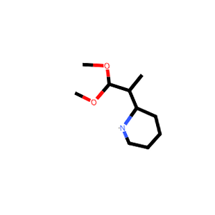 COC(OC)C(C)C1CCCC[N]1